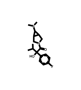 CC(C)C(O)(C(=O)N1CC2C(C1)C2N(C)C)c1ccc(F)cc1